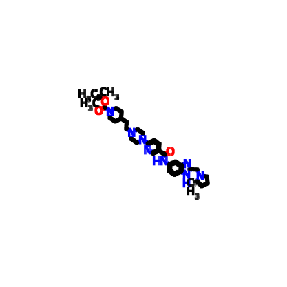 C[C@H]1CCCN1Cc1nc2cc(NC(=O)c3ccc(N4CCN(CCC5CCN(C(=O)OC(C)(C)C)CC5)CC4)nc3)ccc2[nH]1